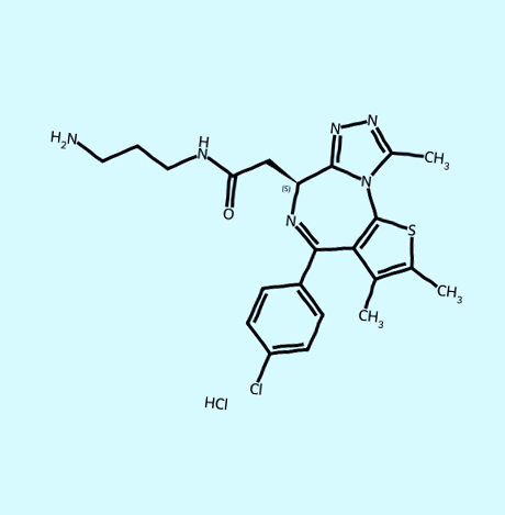 Cc1sc2c(c1C)C(c1ccc(Cl)cc1)=N[C@@H](CC(=O)NCCCN)c1nnc(C)n1-2.Cl